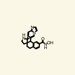 O=C(NO)c1ccc2c(c1)C(c1ccc3nccn3c1)C1(CCNC1=O)CC2